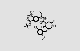 CC[C@@H](NC(=O)N1CC(=O)NC[C@@H](Cc2cc(Cl)ccc2OC)C1=O)c1ccc(C(=O)OC(C)(C)C)c([N+](=O)[O-])c1